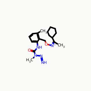 C/C(=N/OCc1c(C)cccc1NC(=O)N(C)N=N)C1CCCCC1